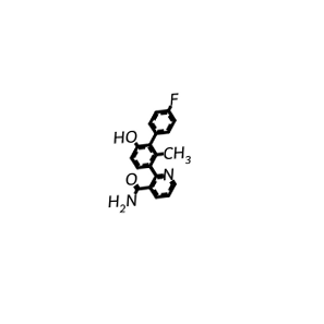 Cc1c(-c2ncccc2C(N)=O)ccc(O)c1-c1ccc(F)cc1